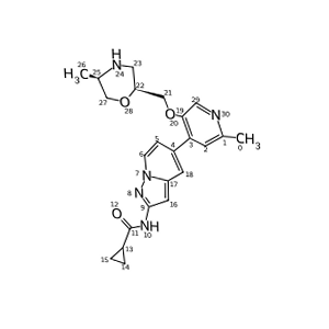 Cc1cc(-c2ccn3nc(NC(=O)C4CC4)cc3c2)c(OC[C@@H]2CN[C@H](C)CO2)cn1